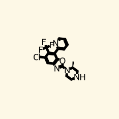 C[C@H]1CNCCN1c1nc2cc(Cl)c(C(F)(F)F)c(-c3ccccn3)c2o1